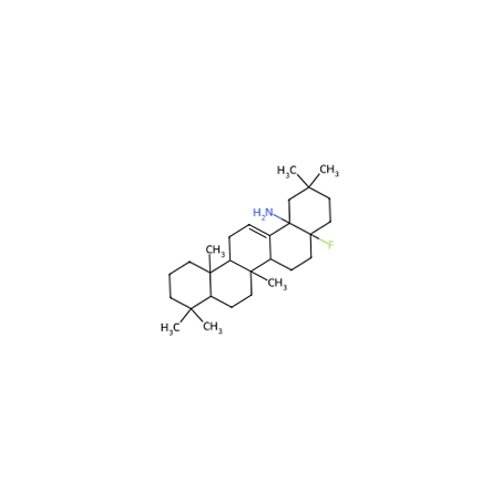 CC1(C)CCC2(F)CCC3C(=CCC4C3(C)CCC3C(C)(C)CCCC34C)C2(N)C1